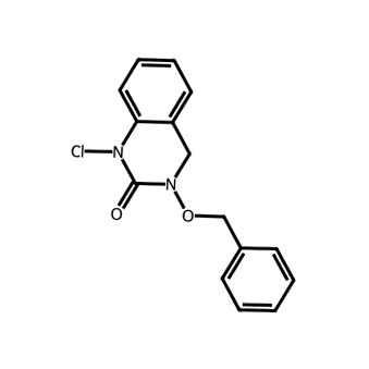 O=C1N(OCc2ccccc2)Cc2ccccc2N1Cl